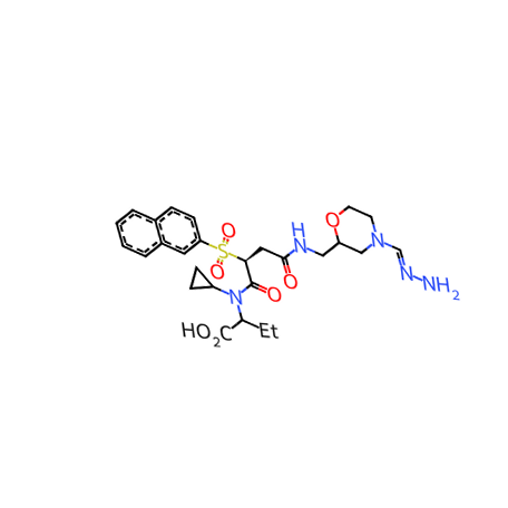 CCC(C(=O)O)N(C(=O)[C@H](CC(=O)NCC1CN(C=NN)CCO1)S(=O)(=O)c1ccc2ccccc2c1)C1CC1